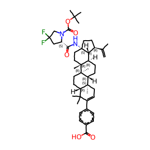 C=C(C)[C@@H]1CC[C@]2(NC(=O)[C@@H]3CC(F)(F)CN3C(=O)OC(C)(C)C)CC[C@]3(C)[C@H](CC[C@@H]4[C@@]5(C)CC=C(c6ccc(C(=O)O)cc6)C(C)(C)[C@@H]5CC[C@]43C)[C@@H]12